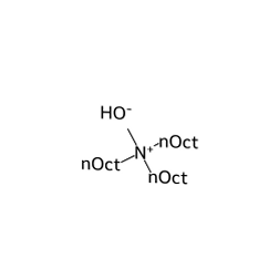 CCCCCCCC[N+](C)(CCCCCCCC)CCCCCCCC.[OH-]